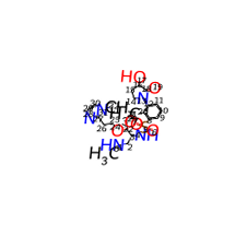 CNC[C@H](NS(=O)(=O)c1cccc(N2CCC(O)C2=O)c1C)C(=O)OCCc1nccn1C